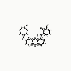 CN1CCCN(C[C@H]2COc3cc4ncnc(Nc5cccc(Br)c5F)c4cc3O2)CC1